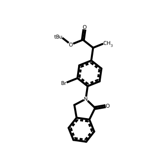 CC(C(=O)OC(C)(C)C)c1ccc(N2Cc3ccccc3C2=O)c(Br)c1